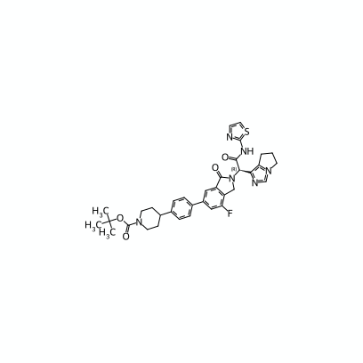 CC(C)(C)OC(=O)N1CCC(c2ccc(-c3cc(F)c4c(c3)C(=O)N([C@@H](C(=O)Nc3nccs3)c3ncn5c3CCC5)C4)cc2)CC1